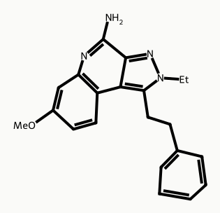 CCn1nc2c(N)nc3cc(OC)ccc3c2c1CCc1ccccc1